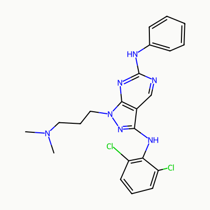 CN(C)CCCn1nc(Nc2c(Cl)cccc2Cl)c2cnc(Nc3ccccc3)nc21